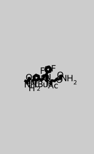 CC(=O)N(CCCOC(N)=O)C(c1nc(-c2cc(F)ccc2F)cn1Cc1cccc(NC(=O)C(C)N)c1)C(C)(C)C